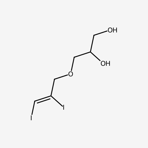 OCC(O)COCC(I)=CI